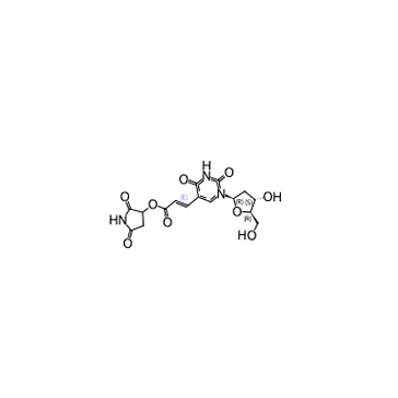 O=C1CC(OC(=O)/C=C/c2cn([C@H]3C[C@H](O)[C@@H](CO)O3)c(=O)[nH]c2=O)C(=O)N1